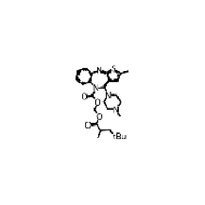 Cc1cc2c(s1)=Nc1ccccc1N(C(=O)OCOC(=O)C(C)CC(C)(C)C)C=2N1CCN(C)CC1